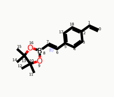 C=Cc1ccc(/C=C/B2OC(C)(C)C(C)(C)O2)cc1